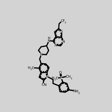 Cc1c(CN2CCC(Nc3ncnc4sc(CC(F)(F)F)cc34)CC2)ccc2c1cc(C#N)n2CCc1ccc(N)cc1P(C)(C)=O